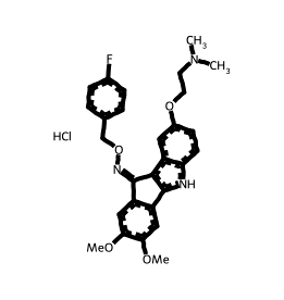 COc1cc2c(cc1OC)-c1[nH]c3ccc(OCCN(C)C)cc3c1C2=NOCc1ccc(F)cc1.Cl